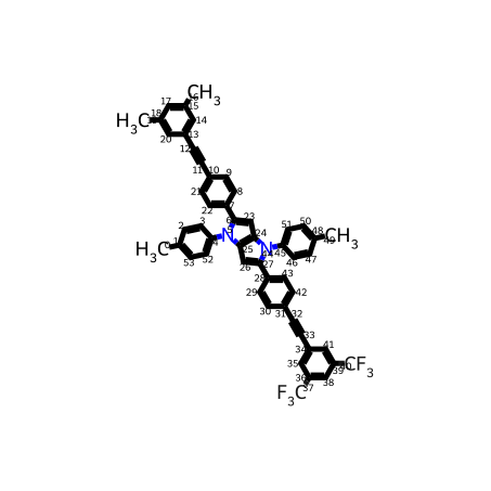 Cc1ccc(-n2c(-c3ccc(C#Cc4cc(C)cc(C)c4)cc3)cc3c2cc(-c2ccc(C#Cc4cc(C(F)(F)F)cc(C(F)(F)F)c4)cc2)n3-c2ccc(C)cc2)cc1